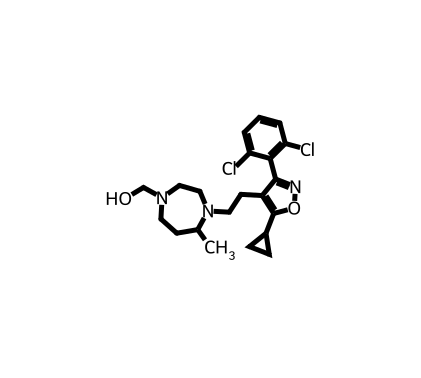 CC1CCN(CO)CCN1CCc1c(-c2c(Cl)cccc2Cl)noc1C1CC1